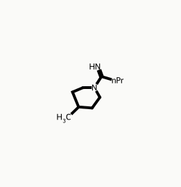 CCCC(=N)N1CCC(C)CC1